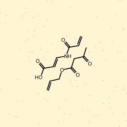 C=CC(=O)NC=CC(=O)O.C=CCOC(=O)CC(C)=O